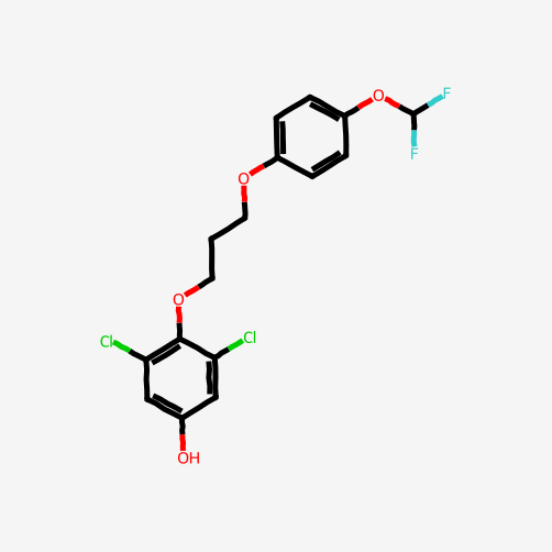 Oc1cc(Cl)c(OCCCOc2ccc(OC(F)F)cc2)c(Cl)c1